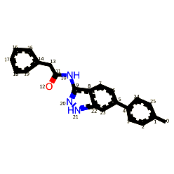 Cc1ccc(-c2ccc3c(NC(=O)Cc4ccccc4)n[nH]c3c2)cc1